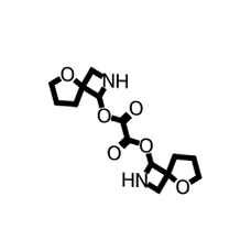 O=C(OC1NCC12CCCO2)C(=O)OC1NCC12CCCO2